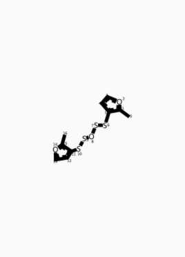 Cc1occc1SSOSSc1ccoc1C